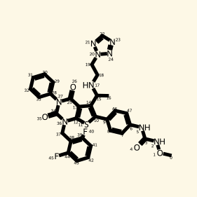 CONC(=O)Nc1ccc(-c2sc3c(c2C(C)NCCn2ncnn2)c(=O)n(-c2ccccc2)c(=O)n3Cc2c(F)cccc2F)cc1